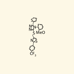 COc1ccccc1-n1c(SCc2csc(-c3ccc(C(F)(F)F)cc3)n2)nnc1-c1cccs1